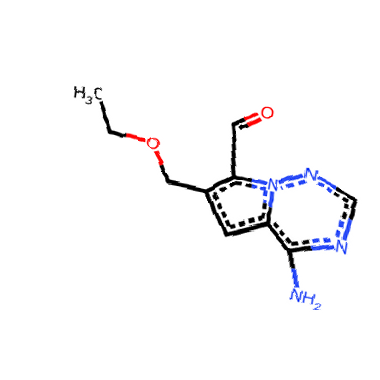 CCOCc1cc2c(N)ncnn2c1C=O